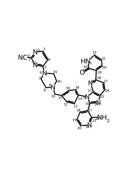 N#Cc1nccc(N2CCN(Cc3ccc(-n4c(-c5cccnc5N)nc5ccc(-c6ccc[nH]c6=O)nc54)cc3)CC2)n1